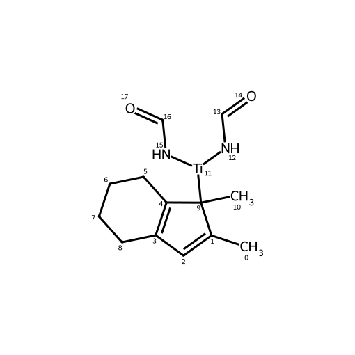 CC1=CC2=C(CCCC2)[C]1(C)[Ti]([NH]C=O)[NH]C=O